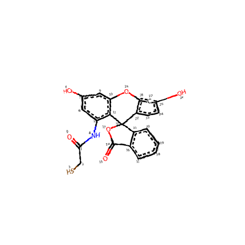 O=C(CS)Nc1cc(O)cc2c1C1(OC(=O)c3ccccc31)c1ccc(O)cc1O2